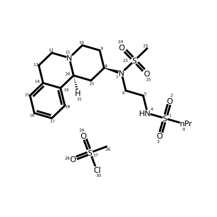 CCCS(=O)(=O)NCCN([C@@H]1CCN2CCc3ccccc3[C@@H]2C1)S(C)(=O)=O.CS(=O)(=O)Cl